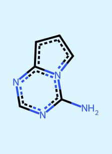 Nc1ncnc2cccn12